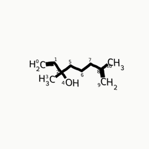 C=CC(C)(O)CCCC(=C)C